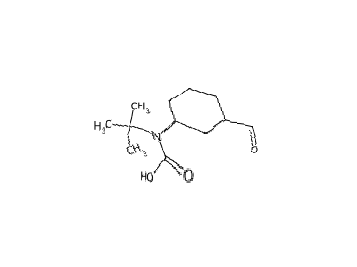 CC(C)(C)N(C(=O)O)C1CCCC(C=O)C1